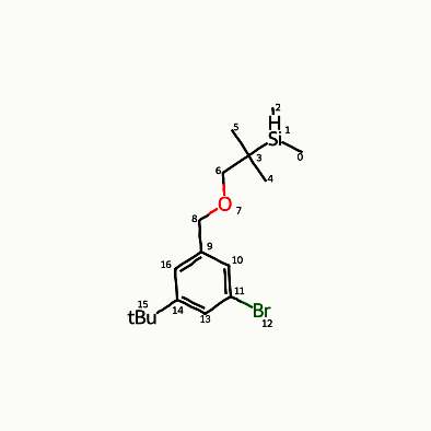 C[SiH](C)C(C)(C)COCc1cc(Br)cc(C(C)(C)C)c1